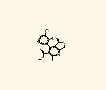 COC(=O)c1c(C)nc2c(c1-c1cccc(Cl)c1Cl)C(=O)NC2